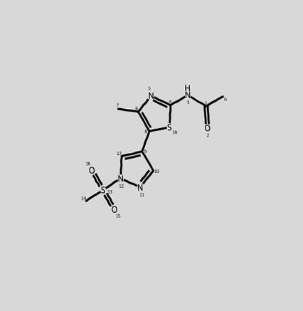 CC(=O)Nc1nc(C)c(-c2cnn(S(C)(=O)=O)c2)s1